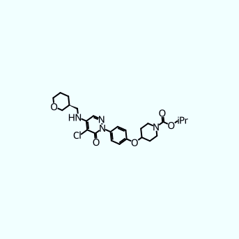 CC(C)OC(=O)N1CCC(Oc2ccc(-n3ncc(NC[C@@H]4CCCOC4)c(Cl)c3=O)cc2)CC1